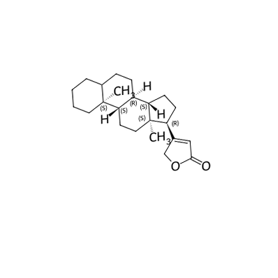 C[C@]12CC[C@H]3[C@@H](CCC4CCCC[C@@]43C)[C@@H]1CC[C@H]2C1=CC(=O)OC1